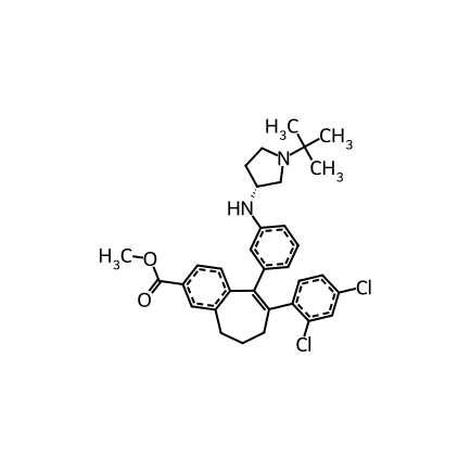 COC(=O)c1ccc2c(c1)CCCC(c1ccc(Cl)cc1Cl)=C2c1cccc(N[C@@H]2CCN(C(C)(C)C)C2)c1